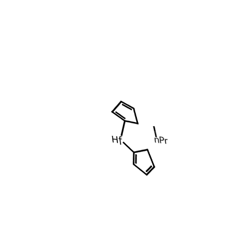 C1=CC[C]([Hf][C]2=CC=CC2)=C1.CCCC